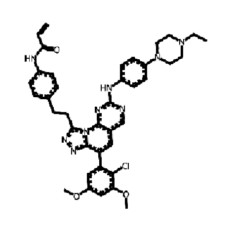 C=CC(=O)Nc1ccc(CCc2nnc3c(-c4cc(OC)cc(OC)c4Cl)cc4cnc(Nc5ccc(N6CCN(CC)CC6)cc5)nc4n23)cc1